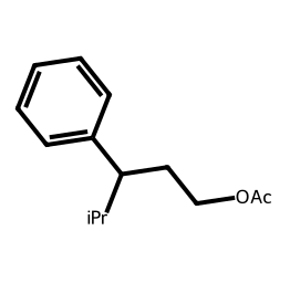 CC(=O)OCCC(c1ccccc1)C(C)C